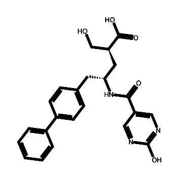 O=C(N[C@H](Cc1ccc(-c2ccccc2)cc1)C[C@@H](CO)C(=O)O)c1cnc(O)nc1